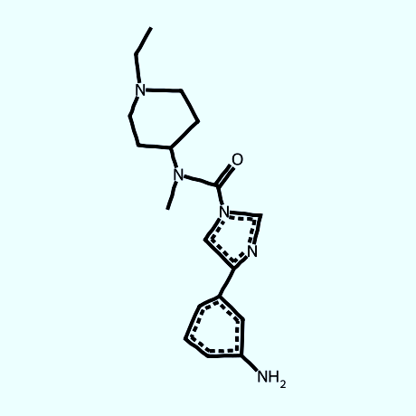 CCN1CCC(N(C)C(=O)n2cnc(-c3cccc(N)c3)c2)CC1